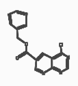 O=C(OCc1ccccc1)c1cnc2ncnc(Cl)c2c1